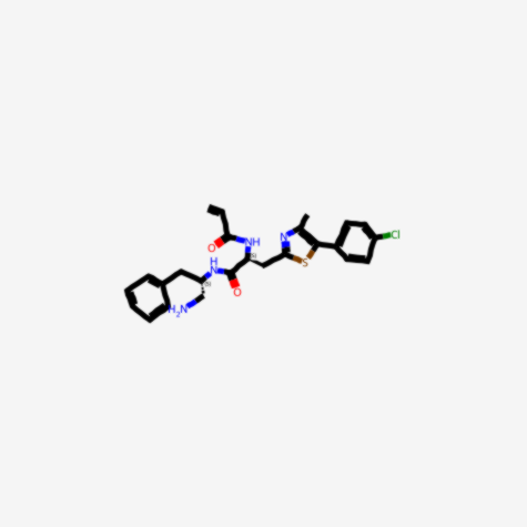 C=CC(=O)N[C@@H](Cc1nc(C)c(-c2ccc(Cl)cc2)s1)C(=O)N[C@H](CN)Cc1ccccc1